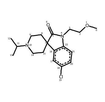 COCCN1C(=O)C2(CCN(C(C)C)CC2)c2cc(Cl)ccc21